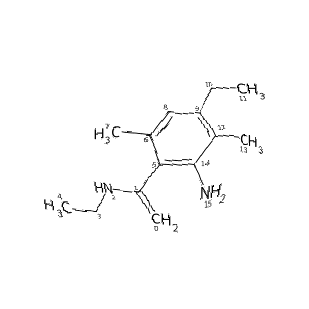 C=C(NCC)c1c(C)cc(CC)c(C)c1N